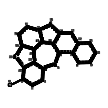 Clc1ccc2sc3c4ccccc4cc4sc5ccc6sc1c2c6c5c43